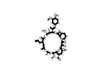 C=CCC1/C=C(\C)C[C@H](C)C[C@H](OC)[C@H]2O[C@@](O)(C(=O)C(=O)N3CCCC[C@H]3C(=O)O[C@H](/C(C)=C/[C@@H]3CC[C@@H](O)[C@H](OC)C3)[C@H](C)[C@@H](O)CC1=O)[C@H](C)C[C@@H]2C=O